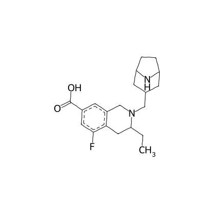 CCC1Cc2c(F)cc(C(=O)O)cc2CN1CC1CC2CCC(C1)N2